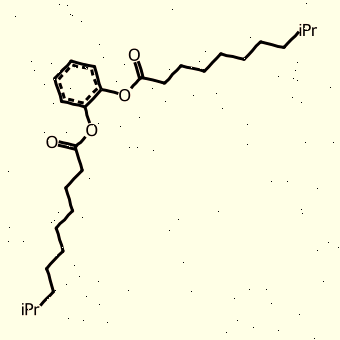 CC(C)CCCCCCCC(=O)Oc1ccccc1OC(=O)CCCCCCCC(C)C